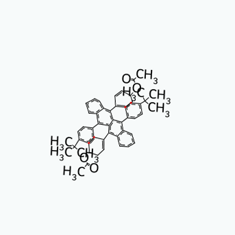 CC(=O)OC1C=CC(c2c3ccccc3c(-c3ccc(C(C)(C)C)cc3)c3c(C4=CCC(OC(C)=O)C=C4)c4ccccc4c(-c4ccc(C(C)(C)C)cc4)c23)=CC1